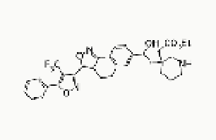 CCOC(=O)C[C@]1(CC(O)c2ccc3c(c2)CCc2c-3noc2-c2noc(-c3ccccc3)c2C(F)(F)F)CCCNC1